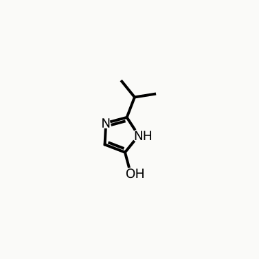 CC(C)c1ncc(O)[nH]1